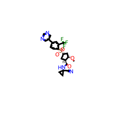 CO[C@H]1C[C@@H](S(=O)(=O)c2ccc(-c3cncnc3)cc2C(F)(F)F)C[C@@H]1C(=O)NC1(C#N)CC1